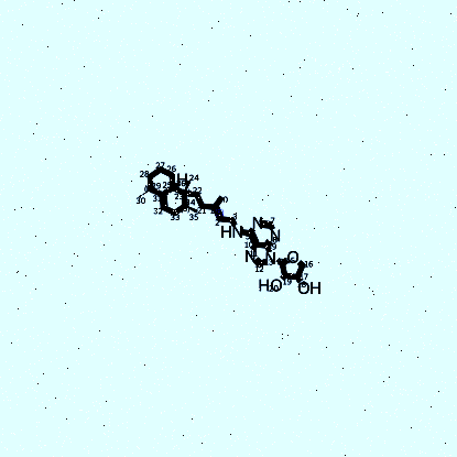 C/C(=C\CNc1ncnc2c1ncn2[C@@H]1OCC(O)C1O)CC[C@@]1(C)[C@@H]2CCC[C@@H](C)C2=CC[C@@H]1C